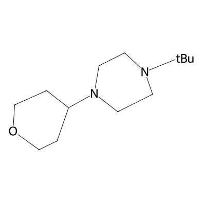 CC(C)(C)N1CCN(C2CCOCC2)CC1